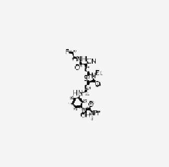 CCn1c(=C=C(C#N)C(=O)NCCF)sc(=C=CNc2cccc(N(C)C(=O)C(C)C)c2)c1=O